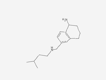 CC(C)CCNCc1ccc2c(c1)CCCC2N